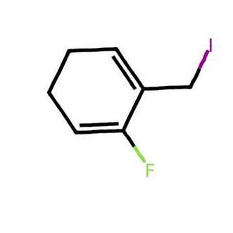 FC1=CCCC=C1CI